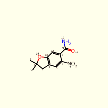 CC1(C)Cc2cc([N+](=O)[O-])c(C(N)=O)cc2O1